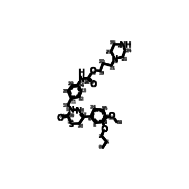 CCCOc1cc(C2=NN(Cc3ccc(NC(=O)OCCCN4CCNCC4)cc3)C(=O)SC2)ccc1OC